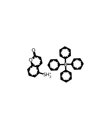 O=c1ccc2c([SH2+])cccc2o1.c1ccc([B-](c2ccccc2)(c2ccccc2)c2ccccc2)cc1